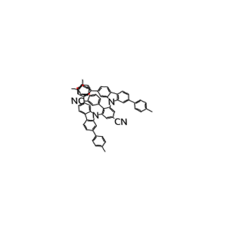 Cc1ccc(-c2ccc3c4ccc(-c5ccc(C)cc5)cc4n(-c4cc(C#N)cc(-n5c6cc(-c7ccc(C)cc7)ccc6c6ccc(-c7ccc(C)cc7)cc65)c4-c4cccc(C#N)c4)c3c2)cc1